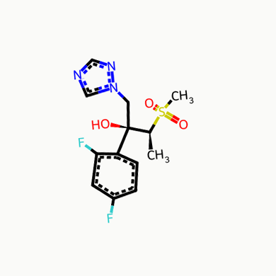 C[C@@H]([C@@](O)(Cn1cncn1)c1ccc(F)cc1F)S(C)(=O)=O